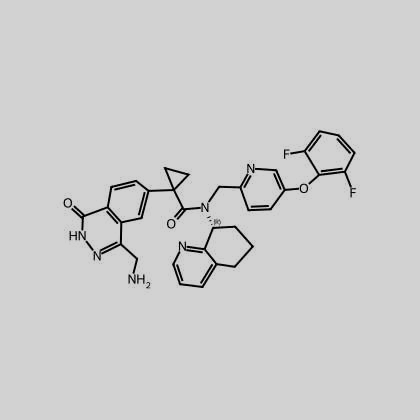 NCc1n[nH]c(=O)c2ccc(C3(C(=O)N(Cc4ccc(Oc5c(F)cccc5F)cn4)[C@@H]4CCCc5cccnc54)CC3)cc12